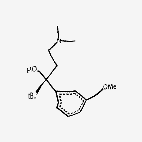 COc1cccc([C@](O)(CCN(C)C)C(C)(C)C)c1